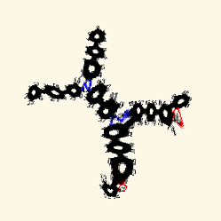 c1ccc(-c2ccc(-c3ccc(N(c4ccc(-c5ccc(-c6ccccc6)cc5)cc4)c4ccc(-c5ccc(-n6c7ccc(-c8ccc(-c9ccc%10oc%11ccccc%11c%10c9)cc8)cc7c7cc(-c8ccc(-c9ccc%10oc%11ccccc%11c%10c9)cc8)ccc76)cc5)cc4)cc3)cc2)cc1